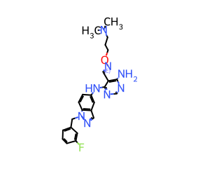 CN(C)CCCO/N=C/c1c(N)ncnc1Nc1ccc2c(cnn2Cc2cccc(F)c2)c1